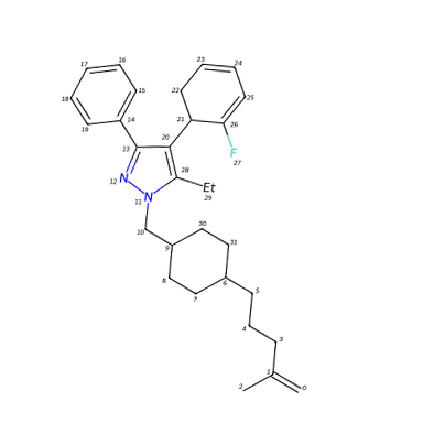 C=C(C)CCCC1CCC(Cn2nc(-c3ccccc3)c(C3CC=CC=C3F)c2CC)CC1